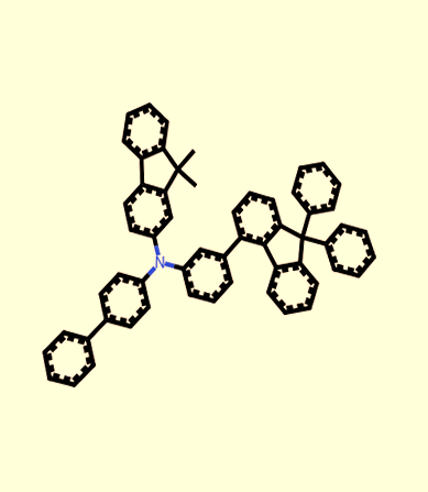 CC1(C)c2ccccc2-c2ccc(N(c3ccc(-c4ccccc4)cc3)c3cccc(-c4cccc5c4-c4ccccc4C5(c4ccccc4)c4ccccc4)c3)cc21